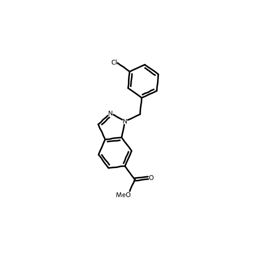 COC(=O)c1ccc2cnn(Cc3cccc(Cl)c3)c2c1